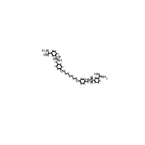 N=C(N)c1cccc(S(=O)(=O)NCc2ccc(OCCCCCCCOc3ccc(CNS(=O)(=O)c4cccc(C(=N)N)c4)cc3)cc2)c1